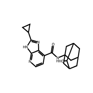 O=C(NC12CC3CC(C1)C(O)C(C3)C2)c1ccnc2[nH]c(C3CC3)nc12